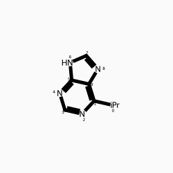 CC(C)c1ncnc2[nH]cnc12